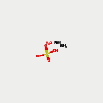 O.O=S(=O)(O)O.[BaH2].[NaH]